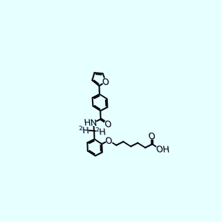 [2H]C([2H])(NC(=O)c1ccc(-c2ccco2)cc1)c1ccccc1OCCCCCC(=O)O